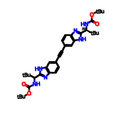 CC(C)(C)OC(=O)NC(c1nc2ccc(C#Cc3ccc4nc([C@@H](NC(=O)OC(C)(C)C)C(C)(C)C)[nH]c4c3)cc2[nH]1)C(C)(C)C